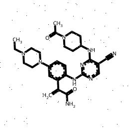 C=C(C(N)=O)c1cc(N2CCN(CC)CC2)ccc1Nc1ncc(C#N)c(NC2CCN(C(C)=O)CC2)n1